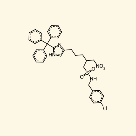 O=[N+]([O-])CC(CCCc1c[nH]c(C(c2ccccc2)(c2ccccc2)c2ccccc2)n1)CS(=O)(=O)NCc1ccc(Cl)cc1